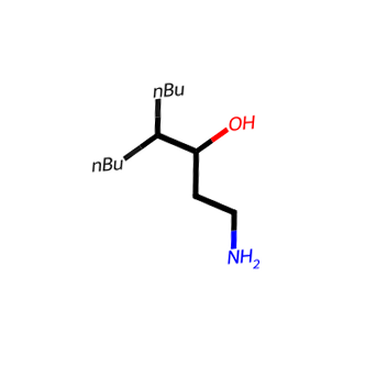 CCCCC(CCCC)C(O)CCN